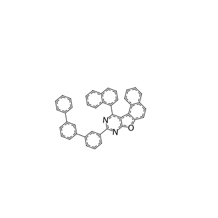 c1ccc(-c2cccc(-c3cccc(-c4nc(-c5cccc6ccccc56)c5c(n4)oc4ccc6ccccc6c45)c3)c2)cc1